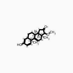 COC1C(=O)C[C@H]2[C@@H]3CCC4C=C(O)C=C[C@]4(C)C3=CC[C@]12C